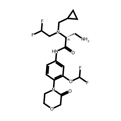 NC[C@H](C(=O)Nc1ccc(N2CCOCC2=O)c(OC(F)F)c1)N(CC(F)F)CC1CC1